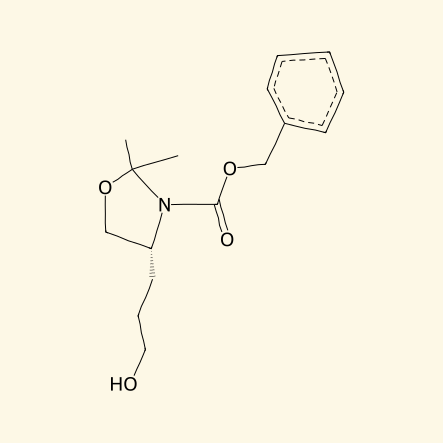 CC1(C)OC[C@@H](CCCO)N1C(=O)OCc1ccccc1